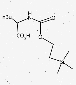 CCCCC(NC(=O)OCC[Si](C)(C)C)C(=O)O